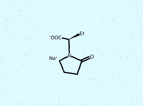 CC[C@H](C(=O)[O-])N1CCCC1=O.[Na+]